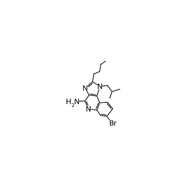 CCCCc1nc2c(N)nc3cc(Br)ccc3c2n1CC(C)C